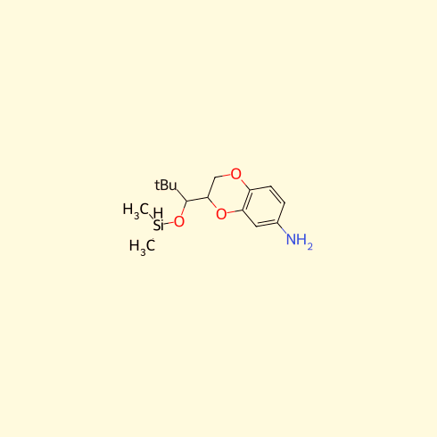 C[SiH](C)OC(C1COc2ccc(N)cc2O1)C(C)(C)C